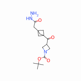 CC(C)(C)OC(=O)N1CC(C(=O)C23CC(CC(=O)NN)(C2)C3)C1